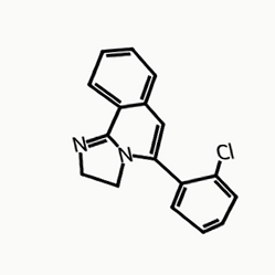 Clc1ccccc1C1=Cc2ccccc2C2=NCCN12